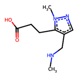 CNCc1cnn(C)c1CCC(=O)O